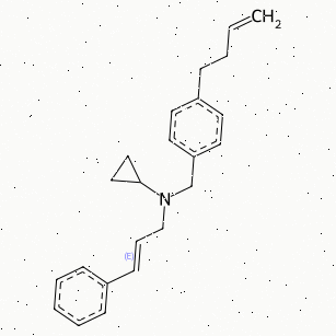 C=CCCc1ccc(CN(C/C=C/c2ccccc2)C2CC2)cc1